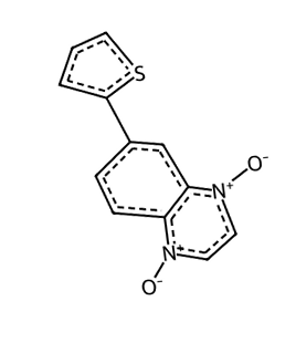 [O-][n+]1cc[n+]([O-])c2cc(-c3cccs3)ccc21